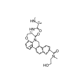 CN[C@@H](C)C(=O)N[C@H]1COc2ccccc2N(Cc2c(OC)ccc3cc(C(=O)N(C)CCO)ccc23)C1=O